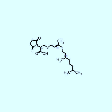 CC(C)=CCC/C(C)=C/CC/C(C)=C/CSC[C@@H](C(=O)O)N1C(=O)CCC1=O